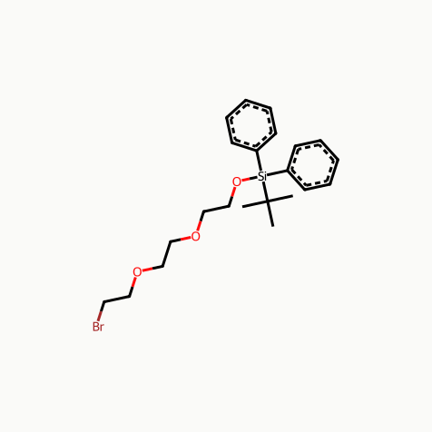 CC(C)(C)[Si](OCCOCCOCCBr)(c1ccccc1)c1ccccc1